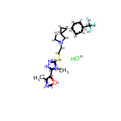 Cc1ncoc1-c1nnc(SCCN2CC[C@@]3(C[C@@H]3c3ccc(C(F)(F)F)cc3)C2)n1C.Cl